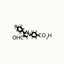 O=Cc1cn(-c2ccc(C(=O)O)cc2)nc1-c1ccc(F)cc1